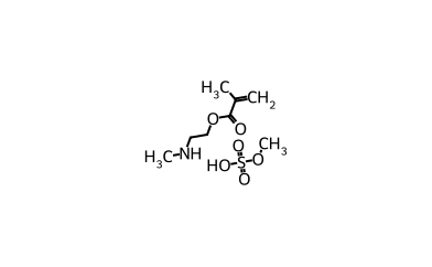 C=C(C)C(=O)OCCNC.COS(=O)(=O)O